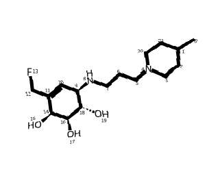 CC1CCN(CCCN[C@@H]2C=C(CF)[C@H](O)[C@H](O)[C@H]2O)CC1